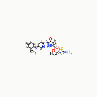 Cc1nc(N)sc1OC(=O)NC1(C(=O)NCc2ccc(Nc3ccc(F)cc3C(F)(F)F)cn2)CC1